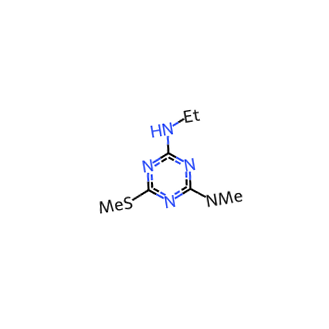 CCNc1nc(NC)nc(SC)n1